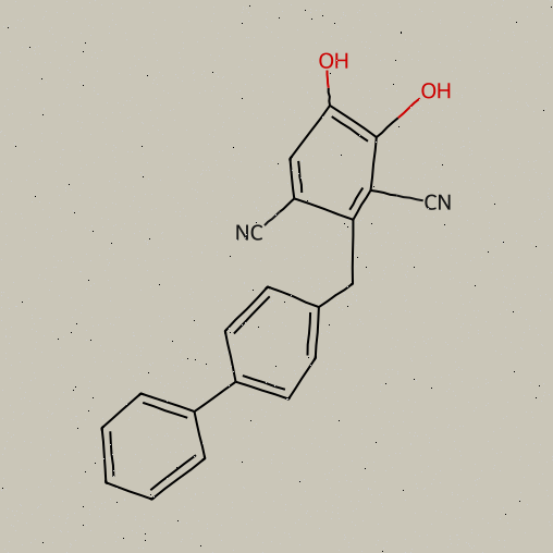 N#Cc1cc(O)c(O)c(C#N)c1Cc1ccc(-c2ccccc2)cc1